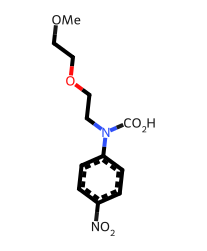 COCCOCCN(C(=O)O)c1ccc([N+](=O)[O-])cc1